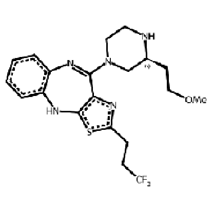 COCC[C@H]1CN(C2=Nc3ccccc3Nc3sc(CCC(F)(F)F)nc32)CCN1